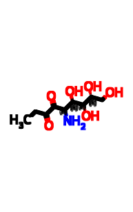 CCC(=O)C(=O)[C@H](N)[C@@H](O)[C@@H](O)[C@H](O)CO